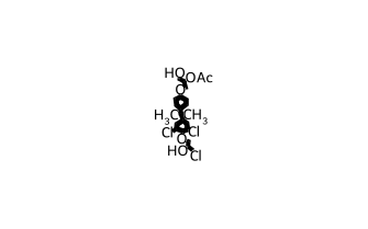 CC(=O)OC(CO)COc1ccc(C(C)(C)c2cc(Cl)c(OCC(O)CCl)c(Cl)c2)cc1